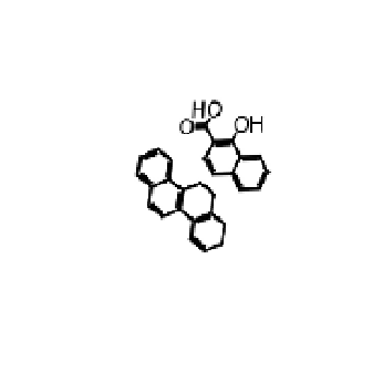 C1=CC2=C(CC1)CCc1c2ccc2ccccc12.O=C(O)c1ccc2ccccc2c1O